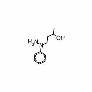 CC(O)CCN(N)c1ccccc1